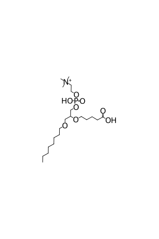 CCCCCCCCOCC(COP(=O)(O)OCC[N+](C)(C)C)OCCCCC(=O)O